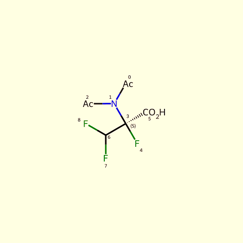 CC(=O)N(C(C)=O)[C@](F)(C(=O)O)C(F)F